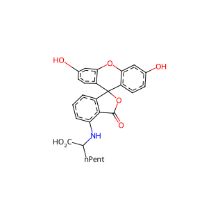 [CH2]CCCCC(Nc1cccc2c1C(=O)OC21c2ccc(O)cc2Oc2cc(O)ccc21)C(=O)O